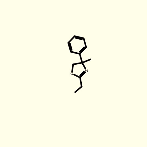 CCC1=NC(C)(c2ccccc2)[CH]O1